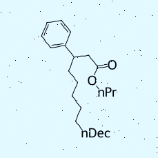 CCCCCCCCCCCCCCCC(CC(=O)OCCC)c1ccccc1